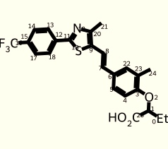 CCC(Oc1ccc(/C=C/c2sc(-c3ccc(C(F)(F)F)cc3)nc2C)cc1C)C(=O)O